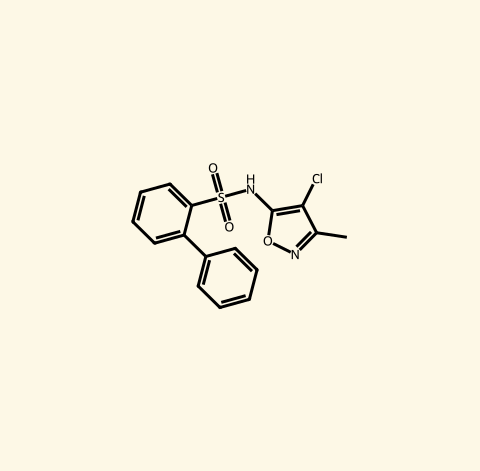 Cc1noc(NS(=O)(=O)c2ccccc2-c2ccccc2)c1Cl